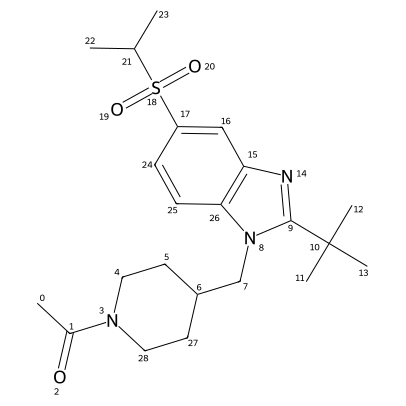 CC(=O)N1CCC(Cn2c(C(C)(C)C)nc3cc(S(=O)(=O)C(C)C)ccc32)CC1